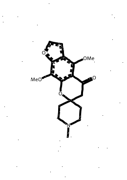 COc1c2c(c(OC)c3occc13)OC1(C[CH]N(C)CC1)CC2=O